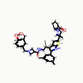 Cc1cc(C)cc(-c2[nH]c3sc(C(C)(C)CC4C5CCC4C(=O)N5)cc3c2[C@H](C)CNC(=O)C2CN(Cc3ccc4c(c3)COO4)C2)c1